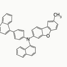 Cc1ccc2oc3cc(N(c4ccc(-c5cccc6ccccc56)cc4)c4cccc5ccccc45)ccc3c2c1